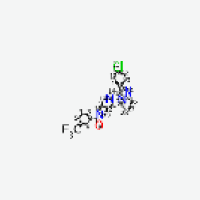 O=C(c1cccc(C(F)(F)F)c1)N1CC2CN(Cc3c(-c4ccc(Cl)cc4)nc4ccccn34)CC2C1